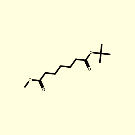 COC(=O)CC[CH]CCC(=O)OC(C)(C)C